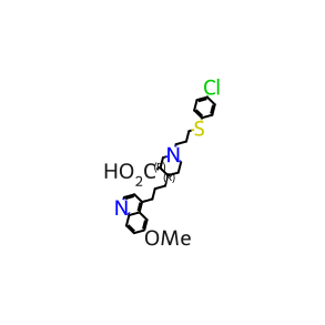 COc1ccc2nccc(CCC[C@@H]3CCN(CCCSc4ccc(Cl)cc4)C[C@@H]3C(=O)O)c2c1